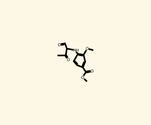 COC(=O)c1ccc(NC(C=O)C(C)=O)c(OC)c1